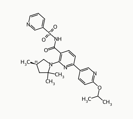 CC(C)Oc1ccc(-c2ccc(C(=O)NS(=O)(=O)c3cccnc3)c(N3C[C@H](C)CC3(C)C)n2)cn1